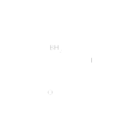 Bc1cocc1I